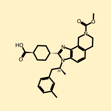 COC(=O)N1CCc2ccc3c(nc([C@H]4CC[C@H](C(=O)O)CC4)n3[C@@H](C)Cc3cccc(C)c3)c2C1